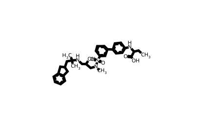 CCC(Nc1ccc(-c2cccc(S(=O)(=O)N(C)CC(O)CNC(C)(C)CC3Cc4ccccc4C3)c2)cc1)C(=O)O